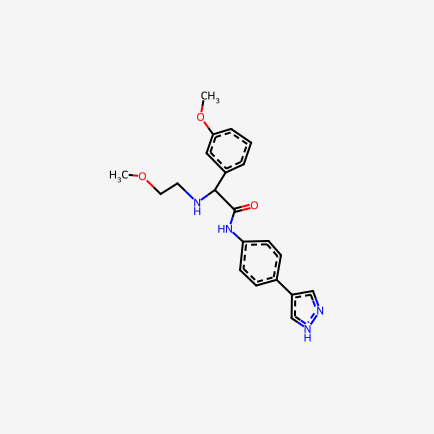 COCCNC(C(=O)Nc1ccc(-c2cn[nH]c2)cc1)c1cccc(OC)c1